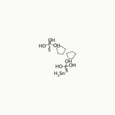 C1CCCC1.C1CCCC1.OP(O)(O)=S.OP(O)(O)=S.[SnH2]